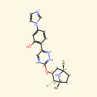 Oc1cc(-n2ccnc2)ccc1-c1cnc(O[C@H]2C[C@@H]3CC[C@@H](N3)[C@@H]2F)nn1